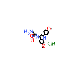 COc1ccc(-c2cc(NC[C@@H](O)CN)c3ccc(OC)cc3n2)cc1.Cl